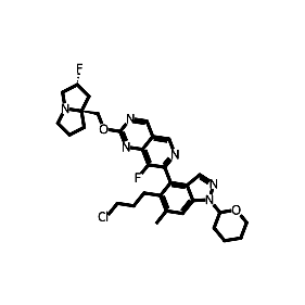 Cc1cc2c(cnn2C2CCCCO2)c(-c2ncc3cnc(OC[C@@]45CCCN4C[C@H](F)C5)nc3c2F)c1CCCCl